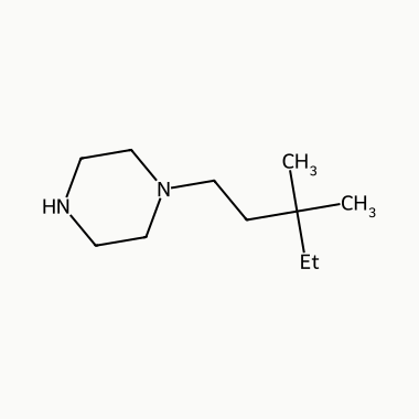 CCC(C)(C)CCN1CCNCC1